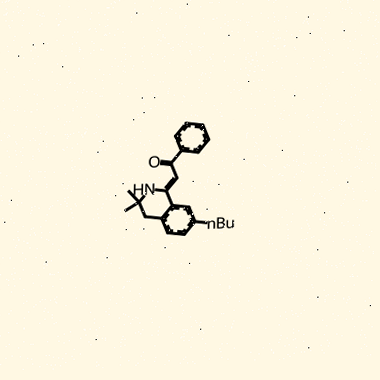 CCCCc1ccc2c(c1)C(=CC(=O)c1ccccc1)NC(C)(C)C2